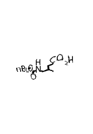 CCCCOC(=O)NCC(C)CCC(=O)O